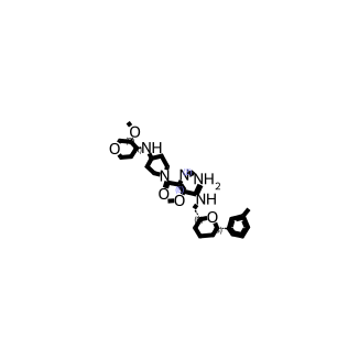 C=C(NC[C@H]1CCC[C@@H](c2cccc(C)c2)O1)/C(OC)=C(\N=C/N)C(=O)N1CCC(N[C@@H]2CCOC[C@@H]2OC)CC1